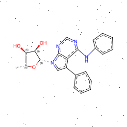 C[C@H]1O[C@@H](n2cc(-c3ccccc3)c3c(Nc4ccccc4)ncnc32)[C@H](O)[C@@H]1O